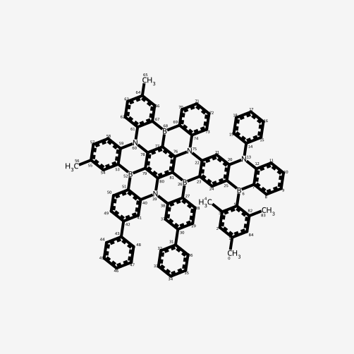 Cc1cc(C)c(B2c3ccccc3N(c3ccccc3)c3cc4c(cc32)B2c3ccc(-c5ccccc5)cc3N3c5cc(-c6ccccc6)ccc5B5c6cc(C)ccc6N6c7ccc(C)cc7B7c8ccccc8N4c4c7c6c5c3c42)c(C)c1